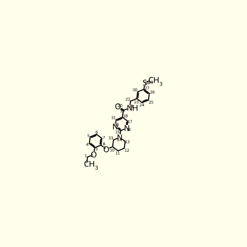 CCOc1ccccc1OC1CCCN(c2ncc(C(=O)NCc3cccc(SC)c3)cn2)C1